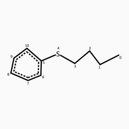 CCCCSc1ccccc1